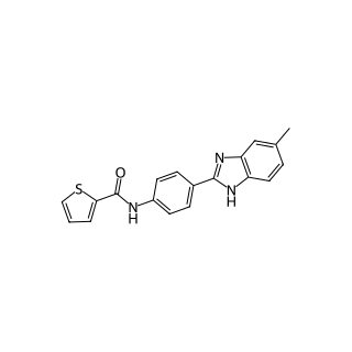 Cc1ccc2[nH]c(-c3ccc(NC(=O)c4cccs4)cc3)nc2c1